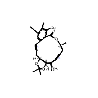 Cc1cc2c(c(O)c1C)C(=O)O[C@@H](C)C/C=C\C(O)[C@H]1OC(C)(C)O[C@H]1C/C=C/2